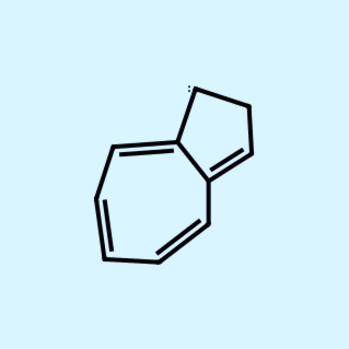 [C]1CC=C2C=CC=CC=C12